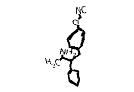 [C-]#[N+]COc1ccc(CC(c2ccccc2)C(C)N)cc1